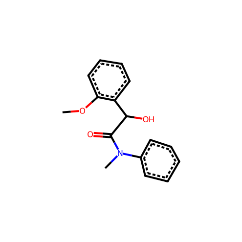 COc1ccccc1C(O)C(=O)N(C)c1ccccc1